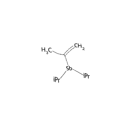 C=[C](C)[Sb]([CH](C)C)[CH](C)C